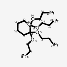 CC(C)CCOC1(OCCC(C)C)CCCC[Si]1(OCCC(C)C)OCCC(C)C